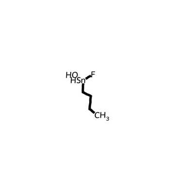 CCC[CH2][SnH]([OH])[F]